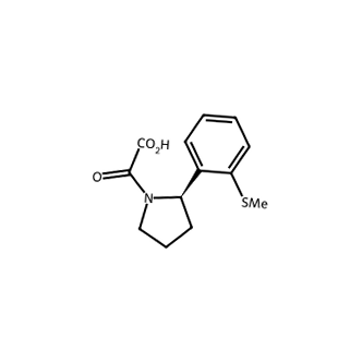 CSc1ccccc1[C@H]1CCCN1C(=O)C(=O)O